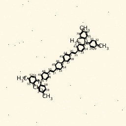 Cc1ccc(N(c2ccc(C=CC3=CC=C(c4ccc(C=Cc5ccc(N(c6ccc(C)cc6)c6ccc(C)cc6C)cc5)cc4)CC3)cc2)c2ccc(C)cc2C)cc1